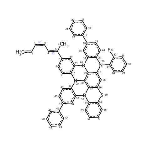 C=C/C=C\C=C(/C)c1ccc2c(c1)B1c3cc(-c4ccccc4)ccc3N(c3ccccc3F)c3cc4c5c(c31)N2c1ccc(-c2ccccc2)cc1B5c1ccccc1S4